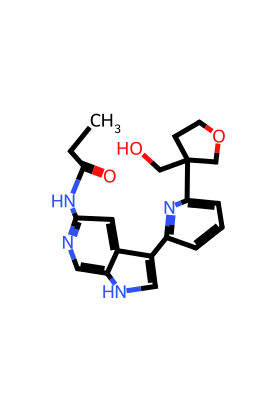 CCC(=O)Nc1cc2c(-c3cccc(C4(CO)CCOC4)n3)c[nH]c2cn1